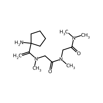 C=C(N(C)CC(=O)N(C)CC(=O)N(C)C)C1(N)CCCC1